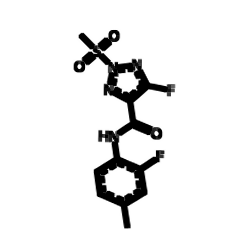 Cc1ccc(NC(=O)c2nn(S(C)(=O)=O)nc2F)c(F)c1